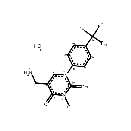 Cl.Cn1c(=O)c(CN)cn(-c2ccc(C(F)(F)F)cc2)c1=O